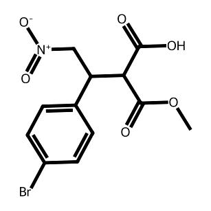 COC(=O)C(C(=O)O)C(C[N+](=O)[O-])c1ccc(Br)cc1